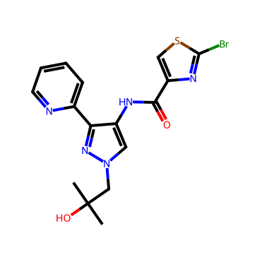 CC(C)(O)Cn1cc(NC(=O)c2csc(Br)n2)c(-c2ccccn2)n1